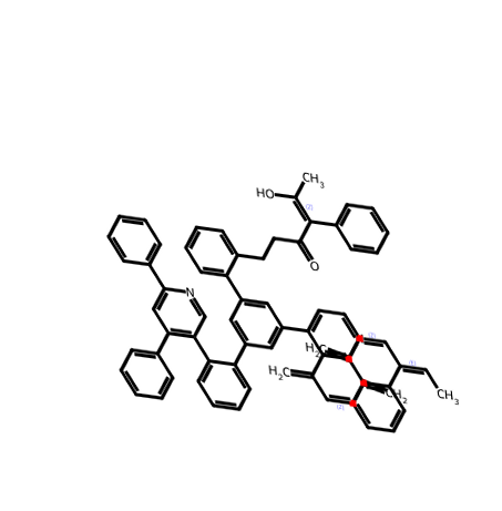 C=C(/C=C\C(=C)c1ccccc1-c1cc(-c2ccccc2CCC(=O)/C(=C(/C)O)c2ccccc2)cc(-c2ccccc2-c2cnc(-c3ccccc3)cc2-c2ccccc2)c1)C(=C)/N=C\C(=C\C)c1ccccc1